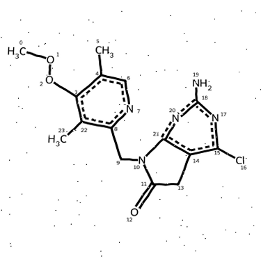 COOc1c(C)cnc(CN2C(=O)Cc3c(Cl)nc(N)nc32)c1C